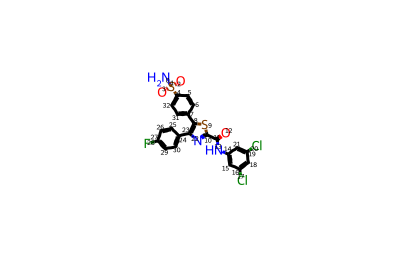 NS(=O)(=O)c1ccc(-c2sc(C(=O)Nc3cc(Cl)cc(Cl)c3)nc2-c2ccc(F)cc2)cc1